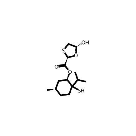 CC(C)C1(S)CC[C@@H](C)C[C@H]1OC(=O)[C@@H]1O[C@@H](O)CS1